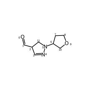 O=CC1C=NN(C2CCOC2)C1